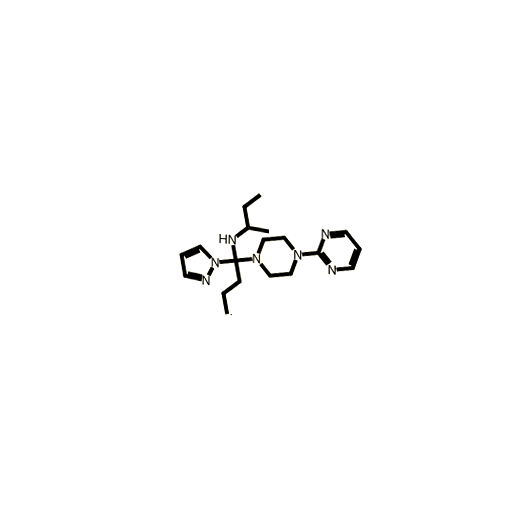 [CH2]CCC(NC(C)CC)(N1CCN(c2ncccn2)CC1)n1cccn1